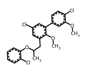 COc1cc(-c2cc(Cl)cc(CC(C)Oc3ccccc3Cl)c2OC)ccc1Cl